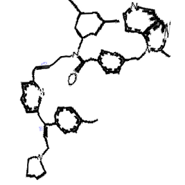 Cc1ccc(/C(=C\CN2CCCC2)c2cccc(/C=C/CN(C(=O)c3ccc(Cn4c(C)nc5cnccc54)cc3)C3CC(C)CC(C)C3)n2)cc1